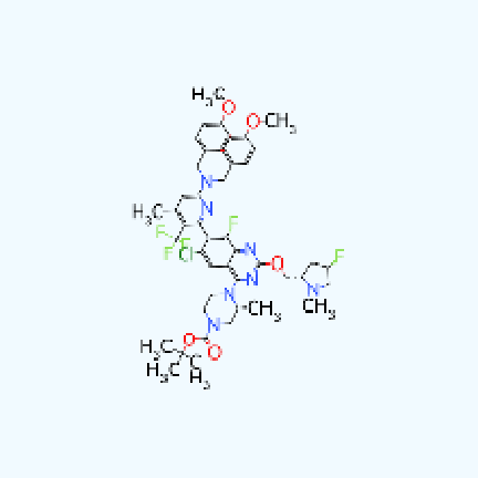 COc1ccc(CN(Cc2ccc(OC)cc2)c2cc(C)c(C(F)(F)F)c(-c3c(Cl)cc4c(N5CCN(C(=O)OC(C)(C)C)C[C@@H]5C)nc(OC[C@@H]5C[C@@H](F)CN5C)nc4c3F)n2)cc1